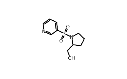 O=S(=O)(c1cccnc1)N1CCCC1CO